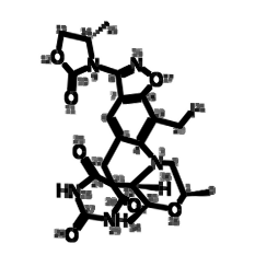 C[C@@H]1CN2c3c(cc4c(N5C(=O)OC[C@@H]5C)noc4c3CI)CC3(C(=O)NC(=O)NC3=O)[C@H]2[C@H](C)O1